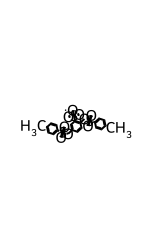 Cc1ccc(S(=O)(=O)Oc2ccc(OS(=O)(=O)c3ccc(C)cc3)c(S([O])(=O)=O)c2)cc1